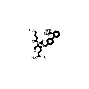 CCCCC(=O)n1c(C=O)c(CCC(C)C)n(Cc2ccc(-c3ccccc3-c3nnn[nH]3)cc2)c1=O